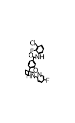 O=C(Nc1cccc(Cl)c1F)c1ccc(C2(C(=O)Nc3ccc(F)cn3)CCC2)cc1